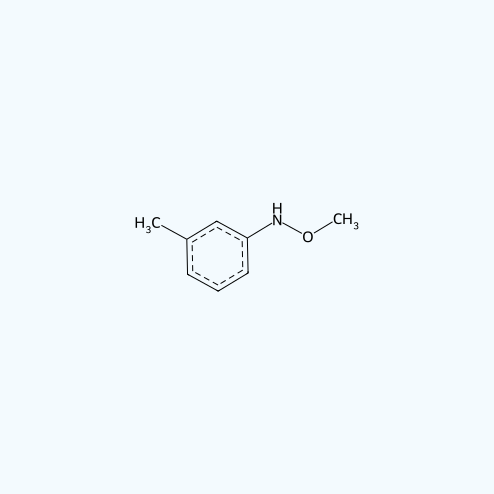 CONc1cccc(C)c1